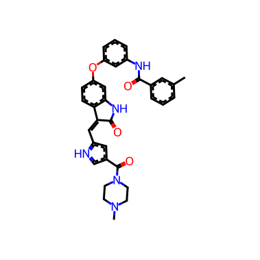 Cc1cccc(C(=O)Nc2cccc(Oc3ccc4c(c3)NC(=O)C4=Cc3cc(C(=O)N4CCN(C)CC4)c[nH]3)c2)c1